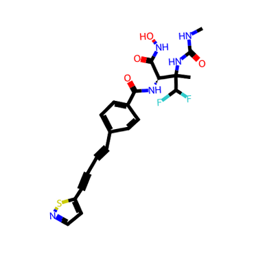 CNC(=O)NC(C)(C(F)F)[C@H](NC(=O)c1ccc(C#CC#Cc2ccns2)cc1)C(=O)NO